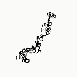 Cc1c(-c2ccc(N3CCc4cccc(C(=O)Nc5nc6ccccc6s5)c4C3)nc2C(=O)O)cnn1CC12CC3(C)CC(C)(C1)CC(OCCN(C)C(=O)OC/C=C/c1cc[c]c(NC(=O)CCNC(=O)CCCCCN4C(=O)C=CC4=O)c1)(C3)C2